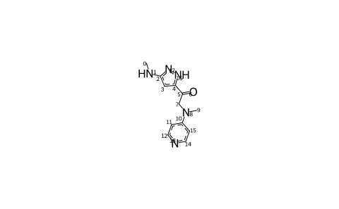 CNc1cc(C(=O)CN(C)c2ccncc2)[nH]n1